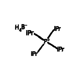 CC(C)[P+](C(C)C)(C(C)C)C(C)C.[BH4-]